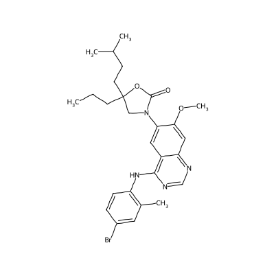 CCCC1(CCC(C)C)CN(c2cc3c(Nc4ccc(Br)cc4C)ncnc3cc2OC)C(=O)O1